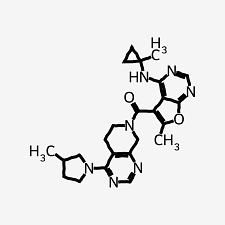 Cc1oc2ncnc(NC3(C)CC3)c2c1C(=O)N1CCc2c(ncnc2N2CCC(C)C2)C1